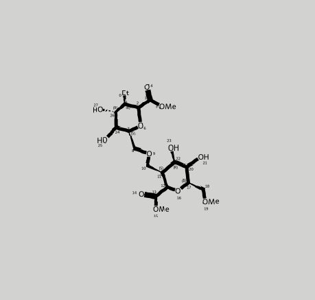 CC[C@H]1C(C(=O)OC)O[C@@H](COC[C@@H]2C(C(=O)OC)O[C@H](COC)C(O)[C@@H]2O)C(O)[C@@H]1O